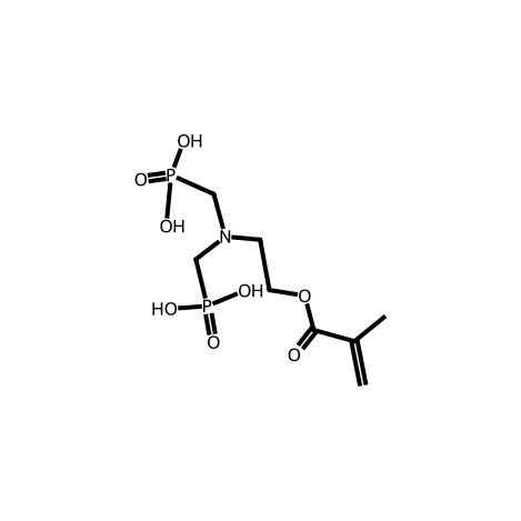 C=C(C)C(=O)OCCN(CP(=O)(O)O)CP(=O)(O)O